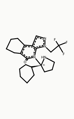 O=c1c2c(c3cnn(CC(F)(F)F)c3n1[C@@]1(C3CCCCC3)CCCN1)CCCC2